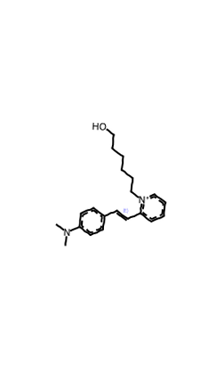 CN(C)c1ccc(/C=C/c2cccc[n+]2CCCCCCO)cc1